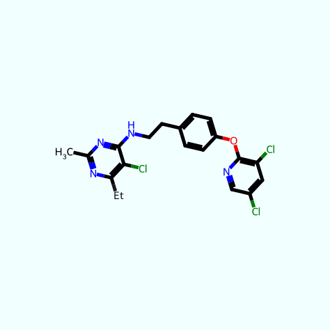 CCc1nc(C)nc(NCCc2ccc(Oc3ncc(Cl)cc3Cl)cc2)c1Cl